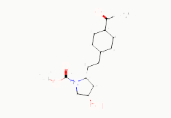 COC(=O)C1CCC(CC[C@H]2C[C@@H](O)CN2C(=O)OC(C)(C)C)CC1